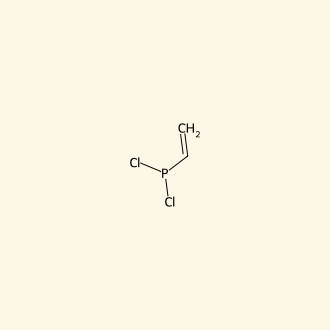 C=CP(Cl)Cl